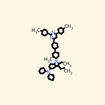 C=C/C=c1\c(=C/C)n(-c2ccc(-c3ccc(-c4cc(-c5ccc(C)cc5)nc(-c5ccc(C)cc5)n4)cc3)cc2C)c2ccc(N(c3ccccc3)c3ccccc3)cc12